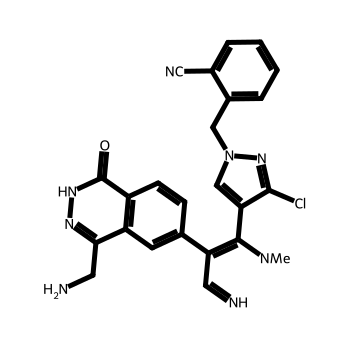 CN/C(=C(\C=N)c1ccc2c(=O)[nH]nc(CN)c2c1)c1cn(Cc2ccccc2C#N)nc1Cl